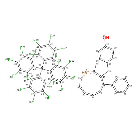 Cc1[sH+]cccccc(-c2ccccc2)c1Cc1ccc(O)cc1.Fc1c(F)c(F)c([B-](c2c(F)c(F)c(F)c(F)c2F)(c2c(F)c(F)c(F)c(F)c2F)c2c(F)c(F)c(F)c(F)c2F)c(F)c1F